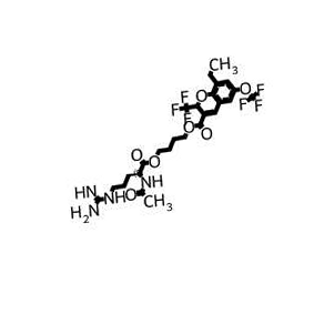 CCc1cc(OC(F)(F)F)cc2c1OC(C(F)(F)F)C(C(=O)OCCCCOC(=O)[C@H](CCCNC(=N)N)NC(C)=O)=C2